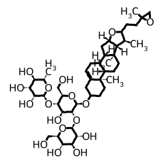 C[C@@H]1O[C@@H](O[C@H]2[C@H](O)[C@@H](O[C@@H]3O[C@H](CO)[C@@H](O)[C@H](O)[C@H]3O)[C@H](OC3CC[C@@]4(C)C(=CC[C@H]5[C@@H]6C[C@@H]7OC(CCC8(C)CO8)[C@@H](C)[C@@H]7[C@@]6(C)CC[C@@H]54)C3)O[C@@H]2CO)[C@H](O)[C@H](O)[C@H]1O